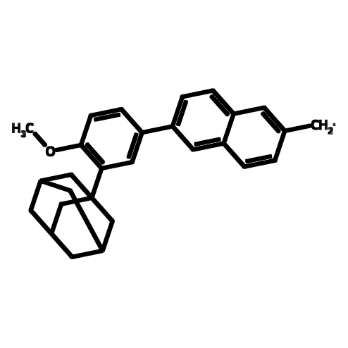 [CH2]c1ccc2cc(-c3ccc(OC)c(C45CC6CC(CC(C6)C4)C5)c3)ccc2c1